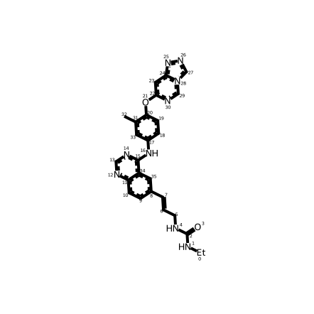 CCNC(=O)NCC=Cc1ccc2ncnc(Nc3ccc(Oc4cc5nncn5cn4)c(C)c3)c2c1